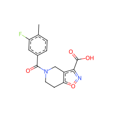 Cc1ccc(C(=O)N2CCc3onc(C(=O)O)c3C2)cc1F